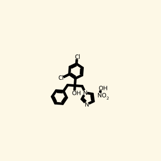 O=[N+]([O-])O.OC(Cc1ccccc1)(Cn1ccnc1)c1ccc(Cl)cc1Cl